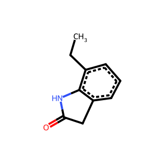 CCc1cccc2c1NC(=O)C2